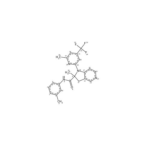 Cc1cccc(NC(=O)C2(C)Cc3cnccc3N2c2cc(C(F)(F)F)cc(C)n2)c1